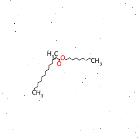 CCCCCCCCCCCC=C(C)C(=O)OCCCCCCCCC